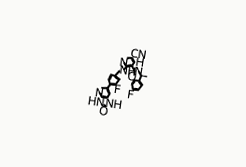 C[C@H](NC(=O)c1cc(C#N)cnc1NCc1ccc(-c2cnc3[nH]c(=O)[nH]c3c2)c(F)c1)c1ccc(F)cc1